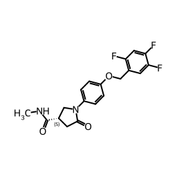 CNC(=O)[C@H]1CC(=O)N(c2ccc(OCc3cc(F)c(F)cc3F)cc2)C1